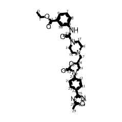 CCOC(=O)c1cccc(NC(=O)N2CCN(CC3CN(c4ccc(-c5noc(C)n5)cc4)C(=O)O3)CC2)c1